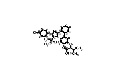 CC(C)C(Oc1cccc(-c2ccccc2-c2cc(C(C)(C)C)n(-c3ccc(Cl)cc3)n2)c1)C(=O)O